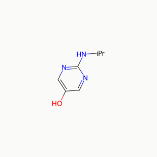 CC(C)Nc1ncc(O)cn1